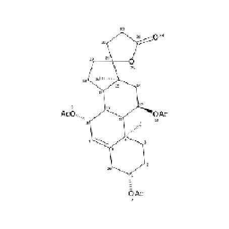 CC(=O)O[C@H]1CC[C@@]2(C)C(=C[C@H](OC(C)=O)C3C2[C@H](OC(C)=O)C[C@@]2(C)C3CCC23CCC(=O)O3)C1